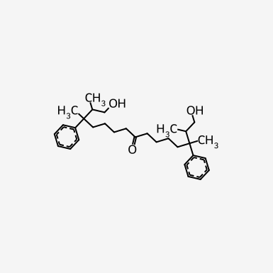 CC(CO)C(C)(CCCCC(=O)CCCCC(C)(c1ccccc1)C(C)CO)c1ccccc1